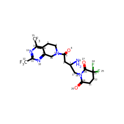 NC(CC(=O)N1CCc2c(nc(C(F)(F)F)nc2C(F)(F)F)C1)CN1C(=O)CCC(F)(F)C1=O